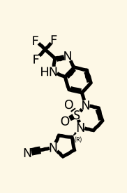 N#CN1CC[C@@H](N2CC=CN(c3ccc4nc(C(F)(F)F)[nH]c4c3)S2(=O)=O)C1